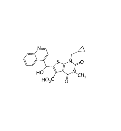 Cn1c(=O)c2c(C(=O)O)c(C(O)c3ccnc4ccccc34)sc2n(CC2CC2)c1=O